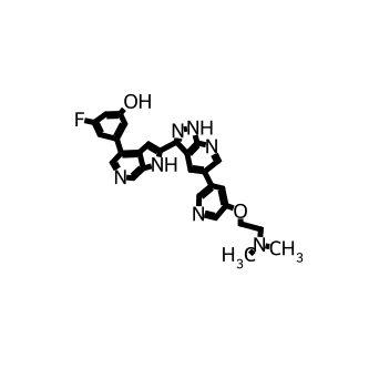 CN(C)CCOc1cncc(-c2cnc3[nH]nc(-c4cc5c(-c6cc(O)cc(F)c6)cncc5[nH]4)c3c2)c1